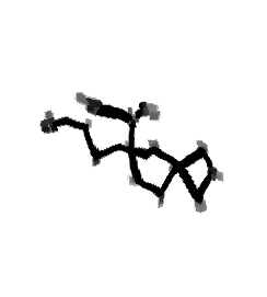 O=[N+]([O-])C1(CCCl)CCC2(COC2)C1